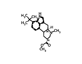 COC(=O)[C@@H]1CC2c3ccc(C(C)(C)C)c4[nH]cc(c34)C[C@H]2N(C)C1